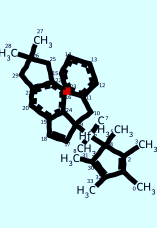 CC1=C(C)[C](C)([Hf]([CH3])([CH3])[C]2(Cc3ccccc3)C=Cc3cc4c(cc32)CC(C)(C)C4)C(C)=C1C